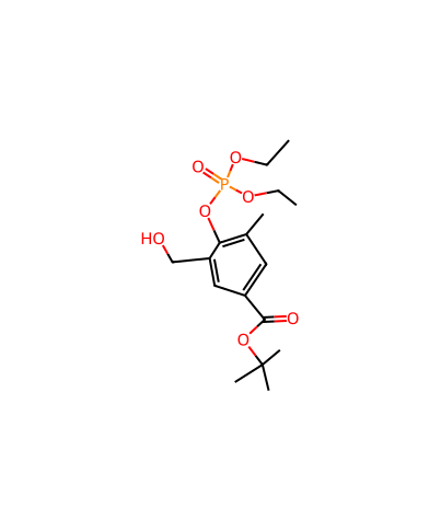 CCOP(=O)(OCC)Oc1c(C)cc(C(=O)OC(C)(C)C)cc1CO